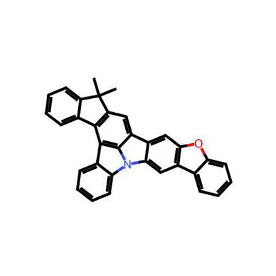 CC1(C)c2ccccc2-c2c1cc1c3cc4oc5ccccc5c4cc3n3c4ccccc4c2c13